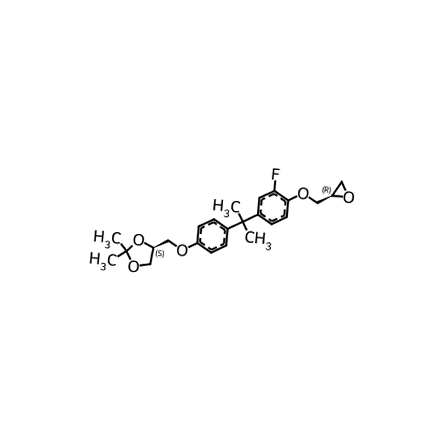 CC1(C)OC[C@H](COc2ccc(C(C)(C)c3ccc(OC[C@H]4CO4)c(F)c3)cc2)O1